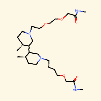 CNC(=O)COCCCCN1CC[C@@H](C)C(C2CN(CCOCCOCC(=O)NC)CC[C@@H]2C)C1